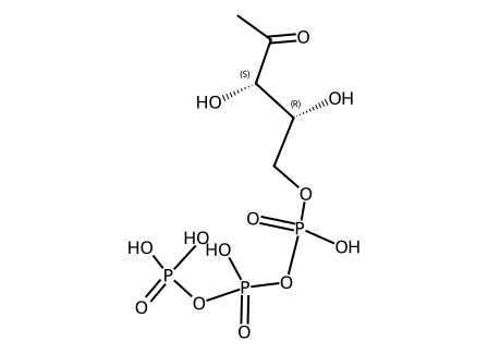 CC(=O)[C@@H](O)[C@H](O)COP(=O)(O)OP(=O)(O)OP(=O)(O)O